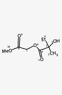 CCC(C)(O)C(=O)OCC(=O)OC